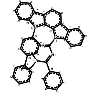 CCN(C)/C(=N\C(=N)n1c2ccccc2c2ccc3c4ccccc4n(-c4ccc(-c5ccccc5)cc4)c3c21)c1ccccc1